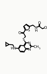 Cc1nc(SCC(=O)c2ccc(CNC(=O)CO)s2)c2cc(NCC3CC3)ccc2n1